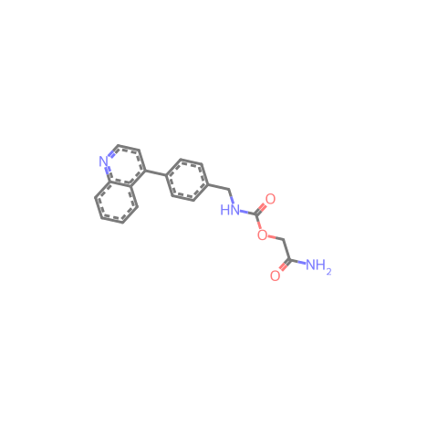 NC(=O)COC(=O)NCc1ccc(-c2ccnc3ccccc23)cc1